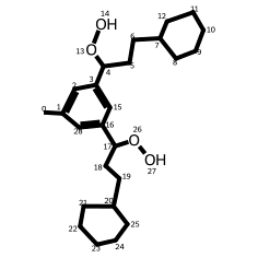 Cc1cc(C(CCC2CCCCC2)OO)cc(C(CCC2CCCCC2)OO)c1